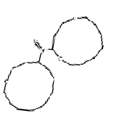 [N-]=[N+](C1CCCCCCCCCCC1)C1CCCCCCCCCCC1